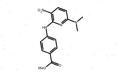 COC(=O)c1ccc(Nc2nc(N(C)C)ccc2[N+](=O)[O-])cc1